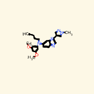 C#CCCCN(c1cc(OC)cc(OC)c1)c1ccc2ncc(-c3cnn(C)c3)nc2c1